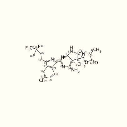 Cn1nc(C2(C)C(=O)Nc3nc(-c4nn(CCC(F)(F)C(F)(F)F)c5cc(Cl)ccc45)nc(N)c32)oc1=O